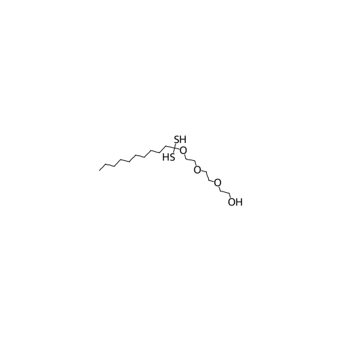 CCCCCCCCCCC(S)(S)OCCOCCOCCO